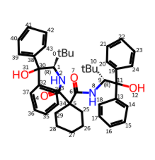 CC(C)(C)[C@@H](NC(=O)C1(C(=O)N[C@H](C(C)(C)C)C(O)(c2ccccc2)c2ccccc2)CCCCC1)C(O)(c1ccccc1)c1ccccc1